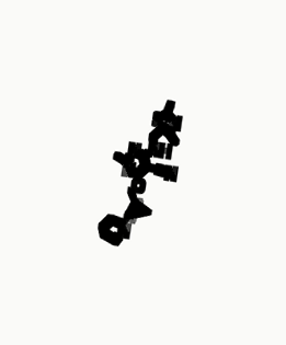 Cc1nc(NCc2sc(C)nc2C)c(C#N)c(OC[C@H]2C[C@@H]2c2ccccn2)n1